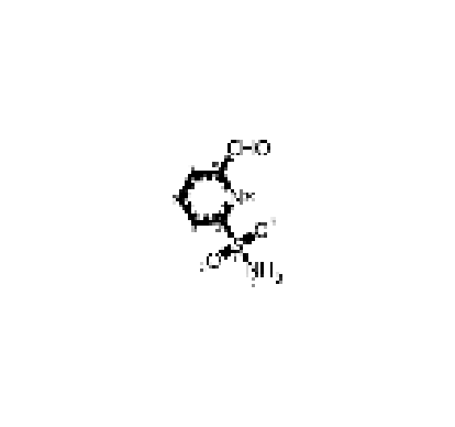 NS(=O)(=O)c1cccc(C=O)n1